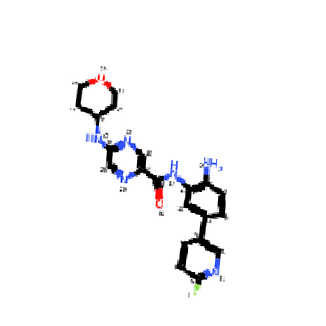 Nc1ccc(-c2ccc(F)nc2)cc1NC(=O)c1cnc(NC2CCOCC2)cn1